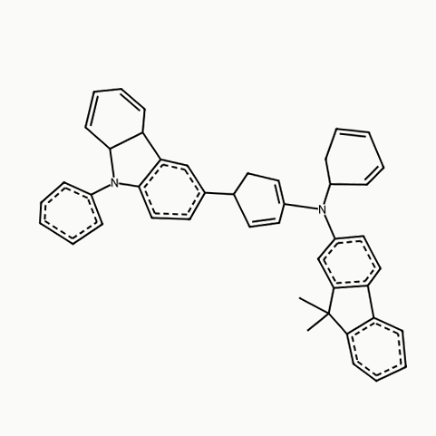 CC1(C)c2ccccc2-c2ccc(N(C3=CCC(c4ccc5c(c4)C4C=CC=CC4N5c4ccccc4)C=C3)C3C=CC=CC3)cc21